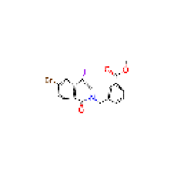 COC(=O)c1cccc(Cn2cc(I)c3cc(Br)ccc3c2=O)c1